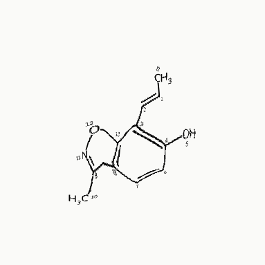 C/C=C/c1c(O)ccc2c(C)noc12